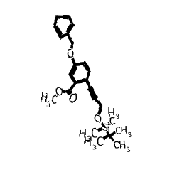 COC(=O)c1cc(OCc2ccccc2)ccc1C#CCO[Si](C)(C)C(C)(C)C